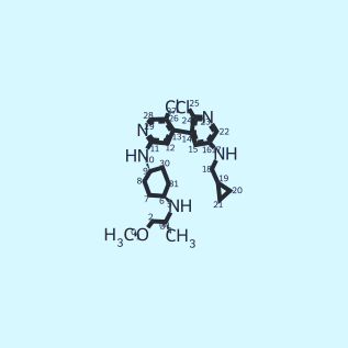 COC[C@@H](C)N[C@H]1CC[C@H](Nc2cc(-c3cc(NCC4CC4)cnc3Cl)c(Cl)cn2)CC1